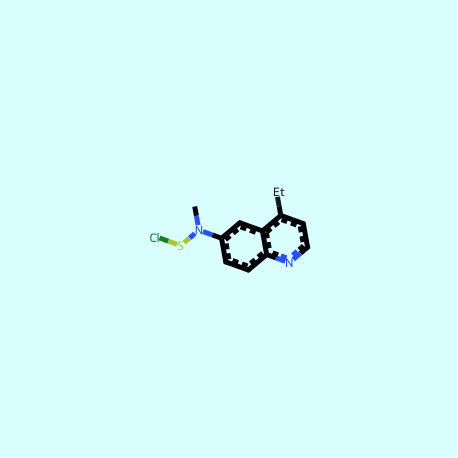 CCc1ccnc2ccc(N(C)SCl)cc12